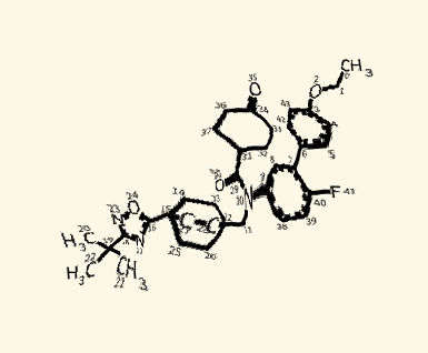 CCOc1ccc(-c2cc(N(CC34CCC(c5nc(C(C)(C)C)no5)(CC3)CC4)C(=O)C3CCC(=O)CC3)ccc2F)cc1